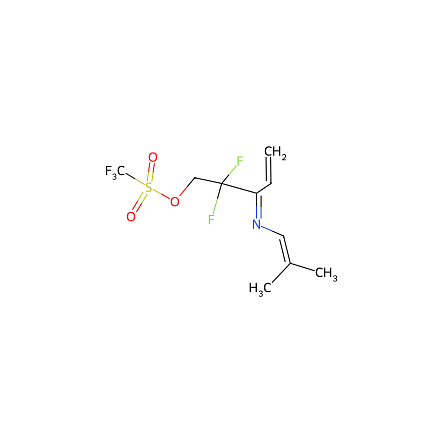 C=C/C(=N\C=C(C)C)C(F)(F)COS(=O)(=O)C(F)(F)F